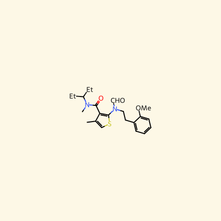 CCC(CC)N(C)C(=O)c1c(C)csc1N(C=O)CCc1ccccc1OC